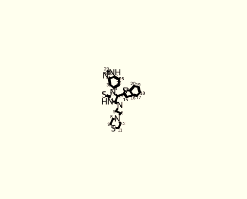 S=C1NC(=NCCN2CCSCC2)C(c2cc3ccccc3s2)N1c1ccc2[nH]cnc2c1